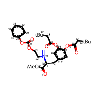 COC(=O)[C@H](Cc1ccc(OC(=O)CC(C)(C)C)c(OC(=O)CC(C)(C)C)c1)NCCOC(=O)Oc1ccccc1